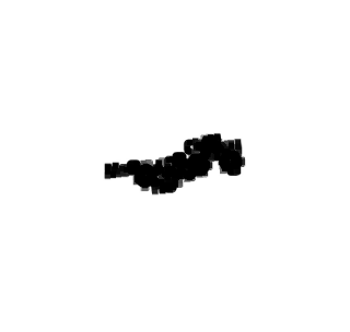 COc1ccc(C)c([C@@H](C)NC(=O)[C@@H](CO)N2Cc3ccc(-c4nc(NC5CCOCC5)ncc4Cl)cc3C2=O)c1